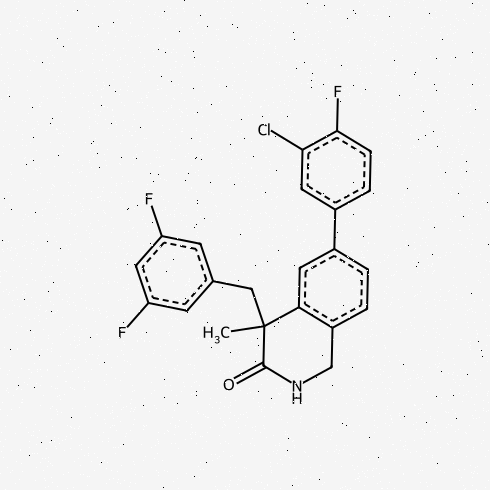 CC1(Cc2cc(F)cc(F)c2)C(=O)NCc2ccc(-c3ccc(F)c(Cl)c3)cc21